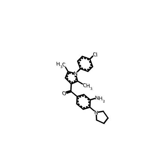 Cc1cc(C(=O)c2ccc(N3CCCC3)c(N)c2)c(C)n1-c1ccc(Cl)cc1